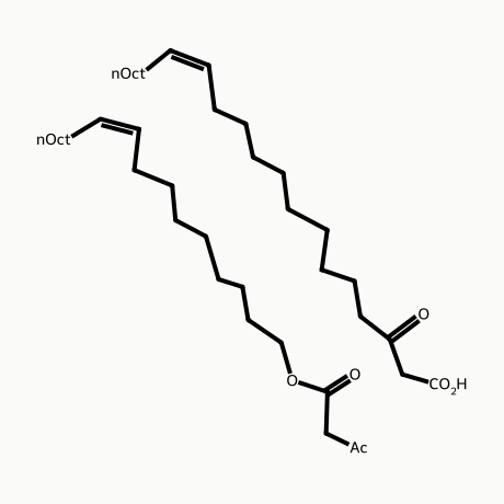 CCCCCCCC/C=C\CCCCCCCCCC(=O)CC(=O)O.CCCCCCCC/C=C\CCCCCCCCOC(=O)CC(C)=O